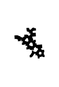 CC[C@@H]1CCC[C@@H]1Nc1cc2c(NC(C)C)nc(C#N)cc2cn1